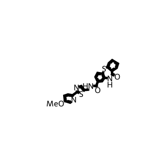 COc1ccc(-c2ncc(CNC(=O)c3ccc4c(c3)NC(=O)c3ccccc3S4)s2)nc1